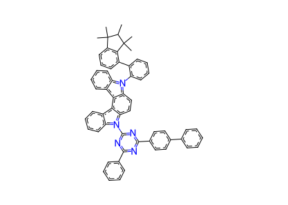 CC1C(C)(C)c2cccc(-c3ccccc3-n3c4ccccc4c4c5c6ccccc6n(-c6nc(-c7ccccc7)nc(-c7ccc(-c8ccccc8)cc7)n6)c5ccc43)c2C1(C)C